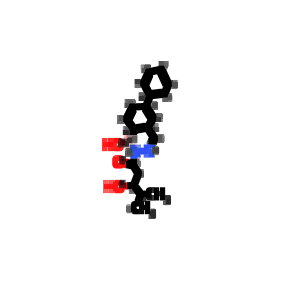 CC(C)C(O)CC(=O)N1N=Cc2cc(-c3ccccc3)ccc2B1O